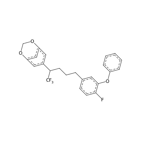 Fc1ccc(CCCC(c2cc3cc(c2)OCO3)C(F)(F)F)cc1Oc1ccccc1